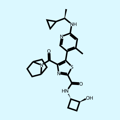 Cc1cc(N[C@H](C)C2CC2)ncc1-c1sc(C(=O)N[C@H]2CC[C@@H]2O)nc1C(=O)N1C2CCC1CC2